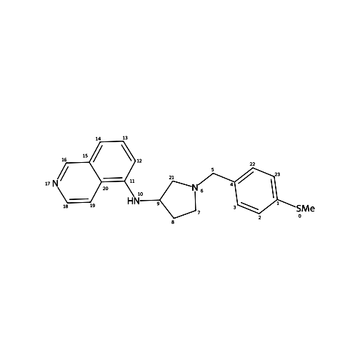 CSc1ccc(CN2CCC(Nc3cccc4cnccc34)C2)cc1